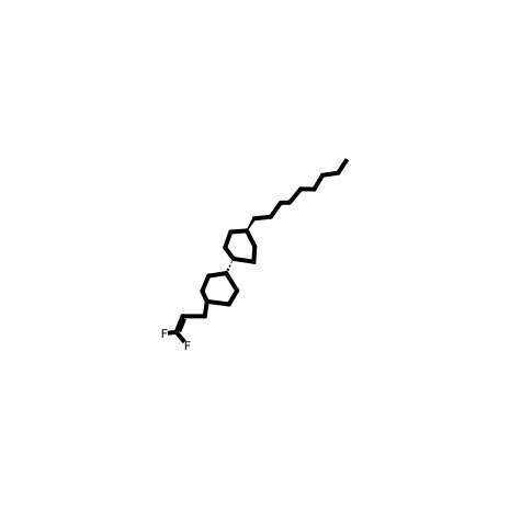 CCCCCCCCC[C@H]1CC[C@H](C2CCC(CC=C(F)F)CC2)CC1